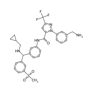 CS(=O)(=O)c1cccc(C(NCC2CC2)c2cccc(NC(=O)c3cc(C(F)(F)F)nn3-c3cccc(CN)c3)c2)c1